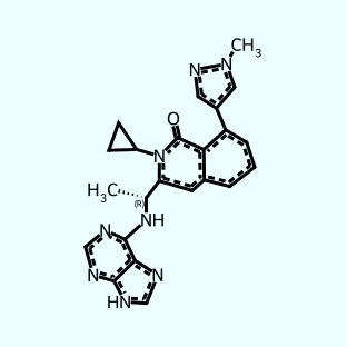 C[C@@H](Nc1ncnc2[nH]cnc12)c1cc2cccc(-c3cnn(C)c3)c2c(=O)n1C1CC1